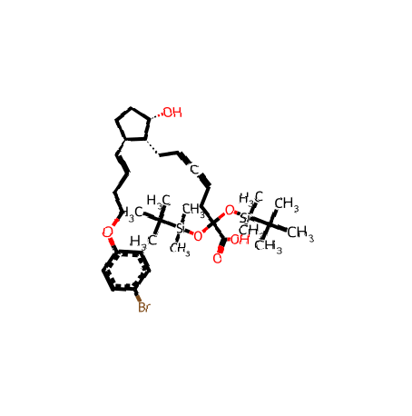 CC(C)(C)[Si](C)(C)OC(CC=C=CC[C@H]1[C@@H](O)CC[C@@H]1C=CCCOc1ccc(Br)cc1)(O[Si](C)(C)C(C)(C)C)C(=O)O